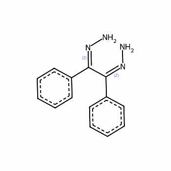 N/N=C(\C(=N/N)c1ccccc1)c1ccccc1